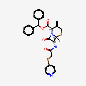 C=C1CS[C@@H]2[C@H](NC(=O)CSc3ccncc3)C(=O)N2[C@H]1C(=O)OC(c1ccccc1)c1ccccc1